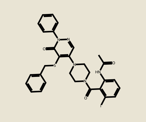 CC(=O)Nc1cccc(I)c1C(=O)N1CCN(c2cnn(-c3ccccc3)c(=O)c2SCc2ccccc2)CC1